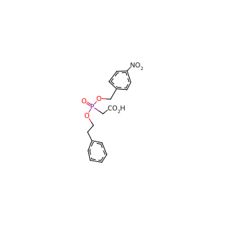 O=C(O)CP(=O)(OCCc1ccccc1)OCc1ccc([N+](=O)[O-])cc1